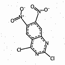 O=[N+]([O-])c1cc2nc(Cl)nc(Cl)c2cc1[N+](=O)[O-]